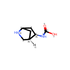 O=C(O)N[C@@H]1CC2C[C@@H]1CN2